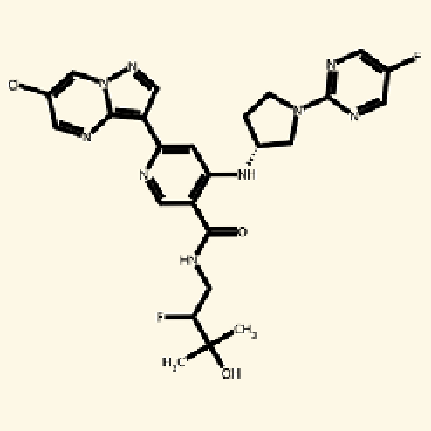 CC(C)(O)C(F)CNC(=O)c1cnc(-c2cnn3cc(Cl)cnc23)cc1N[C@@H]1CCN(c2ncc(F)cn2)C1